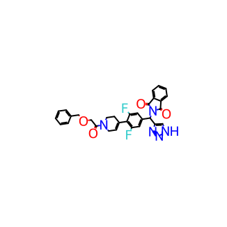 O=C(COCc1ccccc1)N1CC=C(c2c(F)cc(C(c3c[nH]nn3)N3C(=O)c4ccccc4C3=O)cc2F)CC1